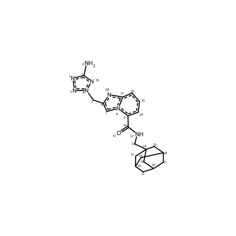 Nc1nnn(Cc2cn3c(C(=O)NCC45CC6CC(CC(C6)C4)C5)cccc3n2)n1